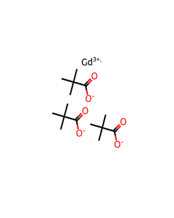 CC(C)(C)C(=O)[O-].CC(C)(C)C(=O)[O-].CC(C)(C)C(=O)[O-].[Gd+3]